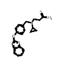 NC(=O)CCN(Cc1ccc(Oc2nc3ccccc3s2)cc1)C1CC1